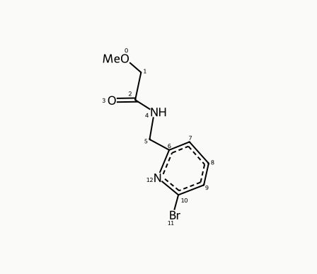 COCC(=O)NCc1cccc(Br)n1